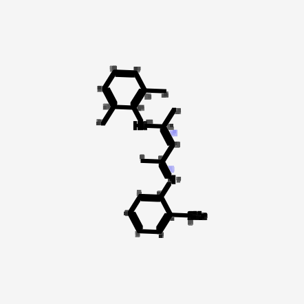 CSc1ccccc1/N=C(C)/C=C(/C)Nc1c(C)cccc1C